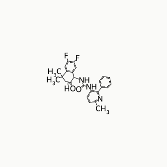 Cc1ccc(NC(=O)NC2c3cc(F)c(F)cc3C(C)(C)C[C@H]2O)c(-c2ccccc2)n1